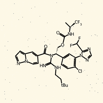 C[C@H](NC(=O)OC[C@H](c1ccc(Cl)c(-n2ncnc2C(F)F)c1)N(C(=N)NCCC(C)(C)C)C(=O)c1ccn2nccc2c1)C(F)(F)F